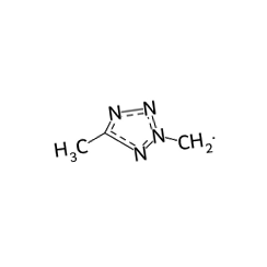 [CH2]n1nnc(C)n1